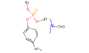 CCOP(=S)(OCC)Oc1ccc([N+](=O)[O-])cc1.CN(C)C=O